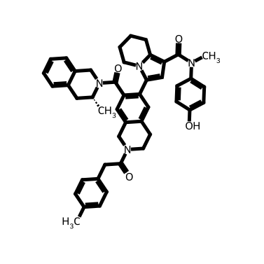 Cc1ccc(CC(=O)N2CCc3cc(-c4cc(C(=O)N(C)c5ccc(O)cc5)c5n4CCCC5)c(C(=O)N4Cc5ccccc5C[C@H]4C)cc3C2)cc1